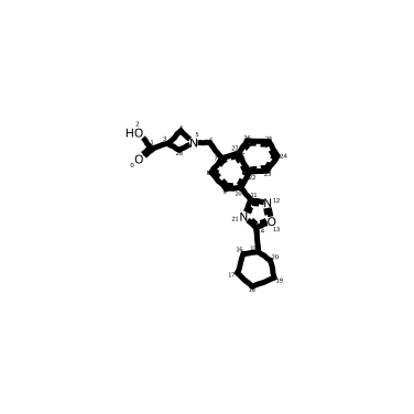 O=C(O)C1CN(Cc2ccc(-c3noc(C4CCCCC4)n3)c3ccccc23)C1